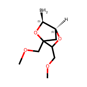 B[C@@H]1OC2(COC)C[C@@H]1OC2COC